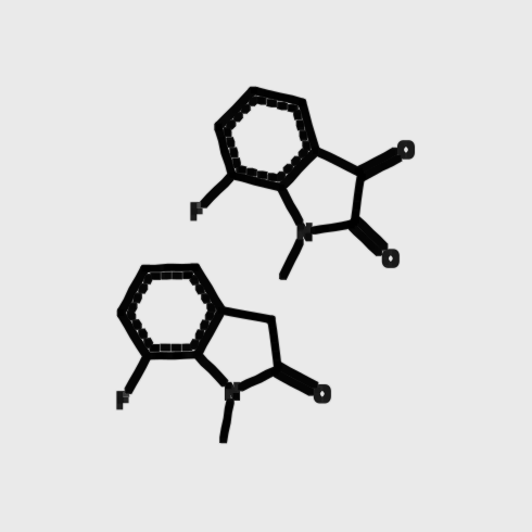 CN1C(=O)C(=O)c2cccc(F)c21.CN1C(=O)Cc2cccc(F)c21